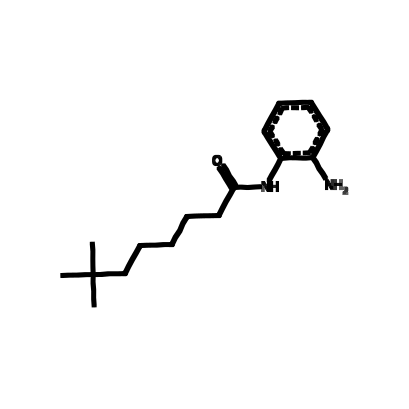 CC(C)(C)CCCCCC(=O)Nc1ccccc1N